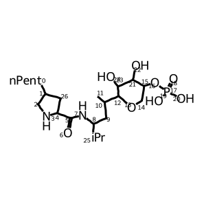 CCCCCC1CNC(C(=O)NC(CC(C)C2OCC(OP(=O)(O)O)C(O)C2O)C(C)C)C1